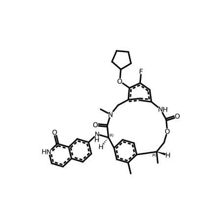 Cc1cc2ccc1[C@@H](C)COC(=O)Nc1cc(F)c(OC3CCCC3)c(c1)CN(C)C(=O)[C@@H]2Nc1ccc2cc[nH]c(=O)c2c1